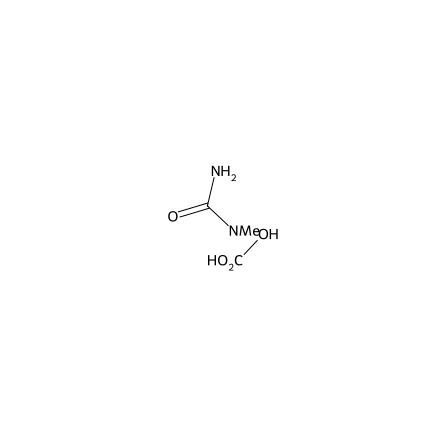 CNC(N)=O.O=C(O)O